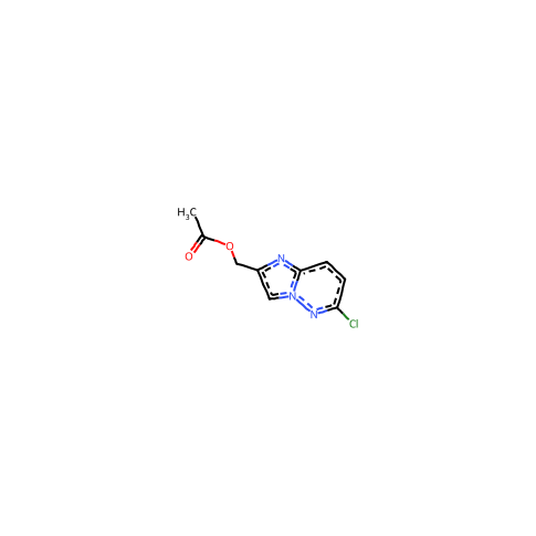 CC(=O)OCc1cn2nc(Cl)ccc2n1